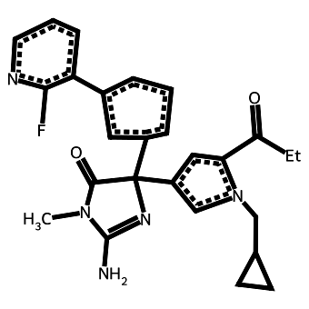 CCC(=O)c1cc(C2(c3cccc(-c4cccnc4F)c3)N=C(N)N(C)C2=O)cn1CC1CC1